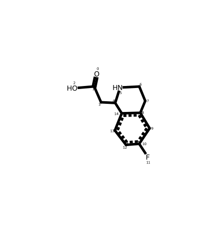 O=C(O)CC1NCCc2cc(F)ccc21